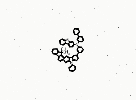 CC1(C)c2ccccc2-c2ccc3cc4c(cc3c21)c1cc(-c2cccc(N(c3cccc(-c5ccccc5)c3)c3ccc5c(c3)sc3ccccc35)c2)ccc1n4-c1ccccc1